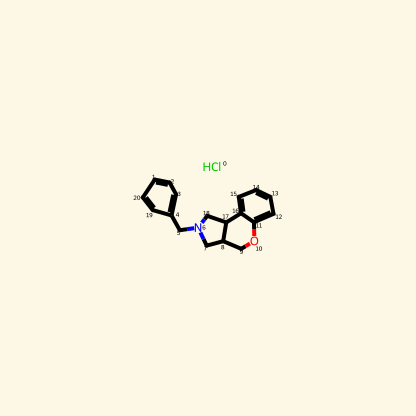 Cl.c1ccc(CN2CC3COc4ccccc4C3C2)cc1